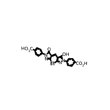 CCC1=NN(c2ccc(C(=O)O)cc2)C(=O)C1=Cc1c(CC)nn(-c2ccc(C(=O)O)cc2)c1O